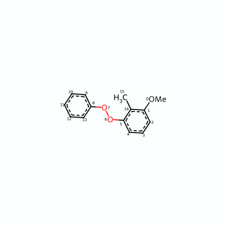 COc1cccc(OOc2ccccc2)c1C